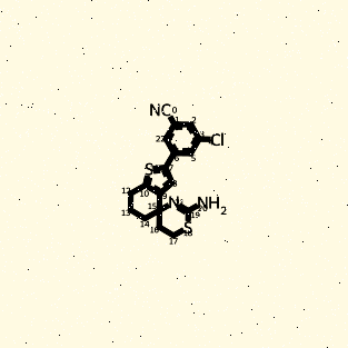 N#Cc1cc(Cl)cc(-c2cc3c(s2)CCCC32CCSC(N)=N2)c1